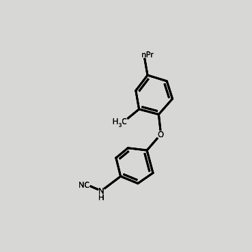 CCCc1ccc(Oc2ccc(NC#N)cc2)c(C)c1